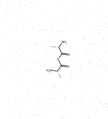 C[C@H](N)C(=O)OC(=O)[C@H](C)N